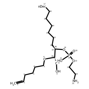 C=CCCCCO[C@@H](CO)[C@@H](CCCCCCCCCCCCCCCC)OP(=O)(O)OCCN